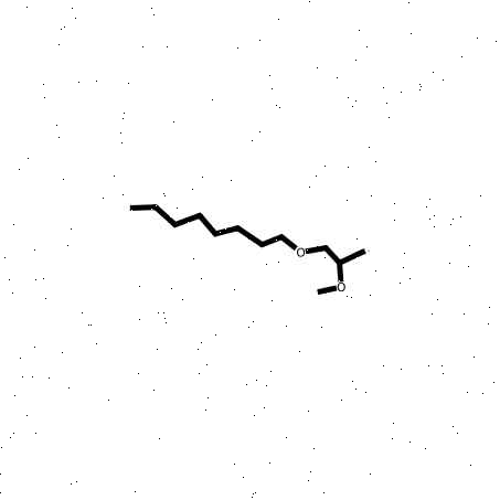 [CH2]C(COCCCCCCCC)OC